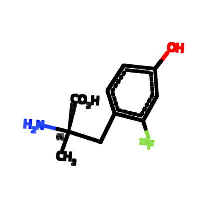 C[C@](N)(Cc1ccc(O)cc1[18F])C(=O)O